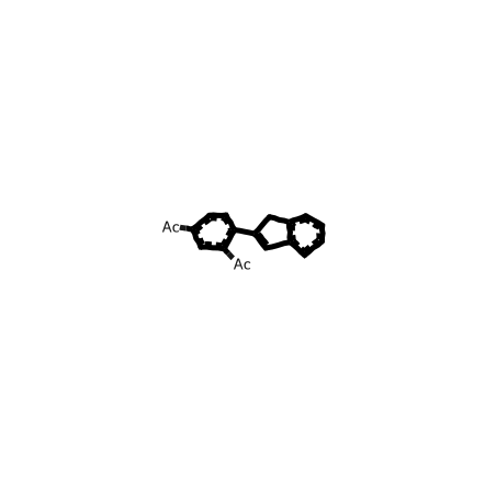 CC(=O)c1ccc(C2=Cc3ccccc3C2)c(C(C)=O)c1